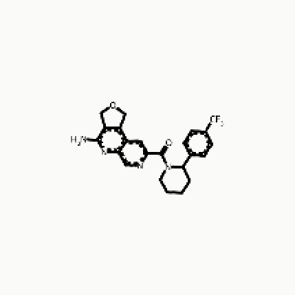 Nc1nc2cnc(C(=O)N3CCCCC3c3ccc(C(F)(F)F)cc3)cc2c2c1COC2